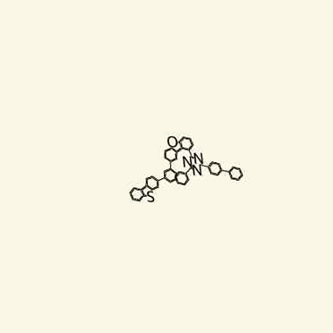 c1ccc(-c2ccc(-c3nc(-c4ccccc4)nc(-c4cccc5oc6ccc(-c7cccc(-c8ccc9c(c8)sc8ccccc89)c7)cc6c45)n3)cc2)cc1